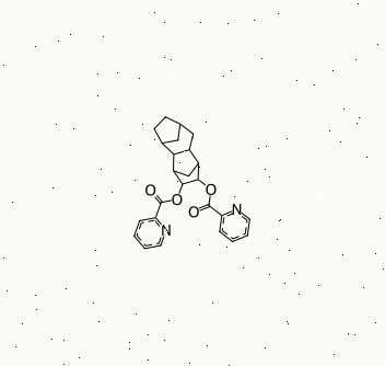 O=C(OC1C2CC(C1OC(=O)c1ccccn1)C1C3CCC(C3)CC21)c1ccccn1